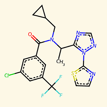 CC(c1ncnn1-c1nccs1)N(CC1CC1)C(=O)c1cc(Cl)cc(C(F)(F)F)c1